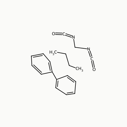 CCCC.O=C=NCN=C=O.c1ccc(-c2ccccc2)cc1